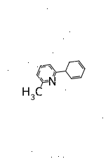 Cc1cccc(C2C=CC=CC2)n1